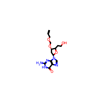 C=CCOCO[C@@H]1C[C@H](n2cnc3c(=O)[nH]c(N)nc32)OC1CCO